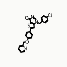 O=c1ncn(Cc2ccc(Cl)cc2)c2cc(-c3ccc(OCc4ccccn4)cc3)sc12